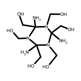 NC1(CO)N(CO)C(N)(CO)N(CO)C(N)(CO)N1CO